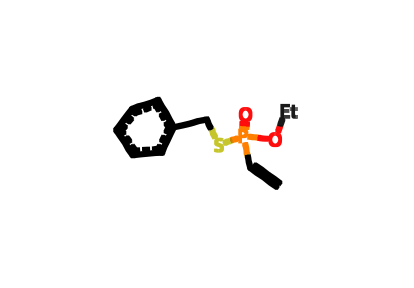 C=CP(=O)(OCC)SCc1ccccc1